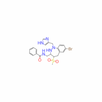 CS(=O)(=O)C1Cc2cc(Br)ccc2N(Cc2c[nH]cn2)NC1CNC(=O)c1ccccc1